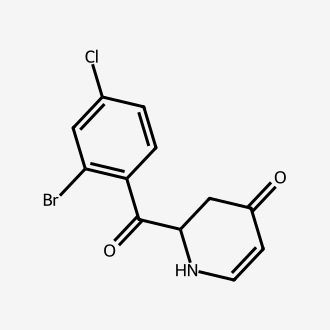 O=C1C=CNC(C(=O)c2ccc(Cl)cc2Br)C1